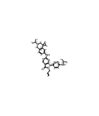 C=CCn1c(=O)c2cnc(Nc3ccc4c(c3)C3(CC3)CN(C(C)C)C4)nc2n1C(=N)/C=C\C(=O)NC(C)C